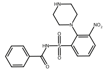 O=C(NS(=O)(=O)c1cccc([N+](=O)[O-])c1N1CCNCC1)c1ccccc1